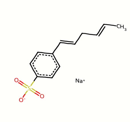 CC=CCC=Cc1ccc(S(=O)(=O)[O-])cc1.[Na+]